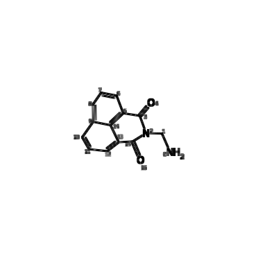 NCN1C(=O)c2cccc3cccc(c23)C1=O